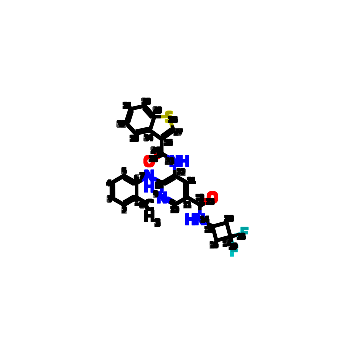 Cc1ccccc1Nc1ncc(C(=O)NC2CC(F)(F)C2)cc1NC(=O)c1csc2ccccc12